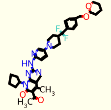 CC(=O)c1c(C)c2cnc(Nc3ccc(N4CCC(C(F)(F)c5ccc(COC6CCCCO6)cc5)CC4)cn3)nc2n(C2CCCC2)c1=O